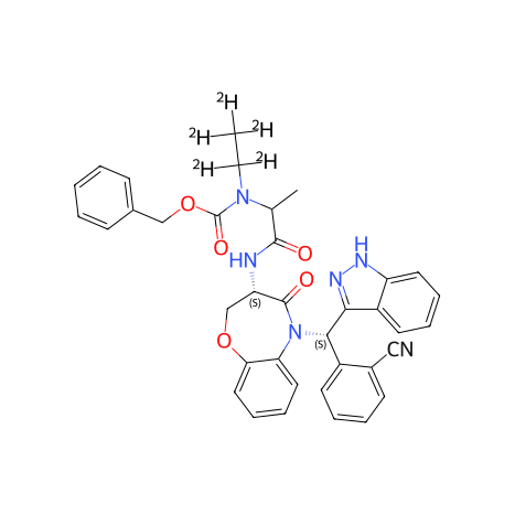 [2H]C([2H])([2H])C([2H])([2H])N(C(=O)OCc1ccccc1)C(C)C(=O)N[C@H]1COc2ccccc2N([C@@H](c2ccccc2C#N)c2n[nH]c3ccccc23)C1=O